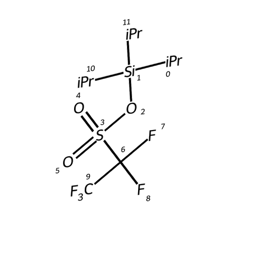 CC(C)[Si](OS(=O)(=O)C(F)(F)C(F)(F)F)(C(C)C)C(C)C